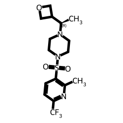 Cc1nc(C(F)(F)F)ccc1S(=O)(=O)N1CCN([C@H](C)C2COC2)CC1